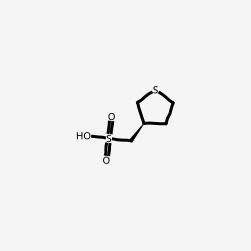 O=S(=O)(O)C[C@@H]1CCSC1